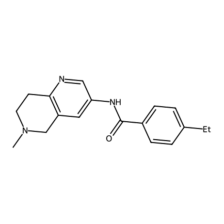 CCc1ccc(C(=O)Nc2cnc3c(c2)CN(C)CC3)cc1